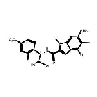 COc1cc2c(cc(C(=O)N[C@@H](c3ccc(C(=O)O)cc3F)C(O)O)n2C)c(Cl)c1C